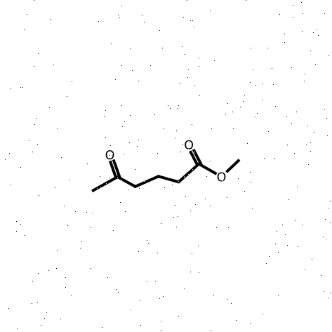 COC(=O)CCCC(C)=O